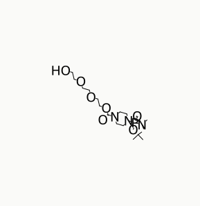 CN(C)P(=O)(OC(C)(C)C)N1CCN(C(=O)OCCOCCOCCO)CC1